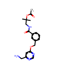 CC(C)(CNC(=O)c1cccc(COc2cc(CN)ncn2)c1)OC(=O)C(F)(F)F